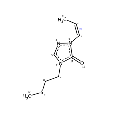 C/C=C\n1ncn(CCSC)c1=O